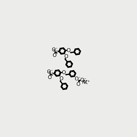 O=C([O-])[O-].O=[N+]([O-])c1ccc(OCc2ccccc2)c(OCc2ccccc2)c1.O=[N+]([O-])c1ccc(OCc2ccccc2)c(OCc2ccccc2)c1.[K+].[K+]